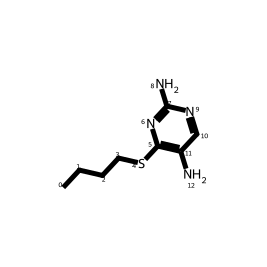 CCCCSc1nc(N)ncc1N